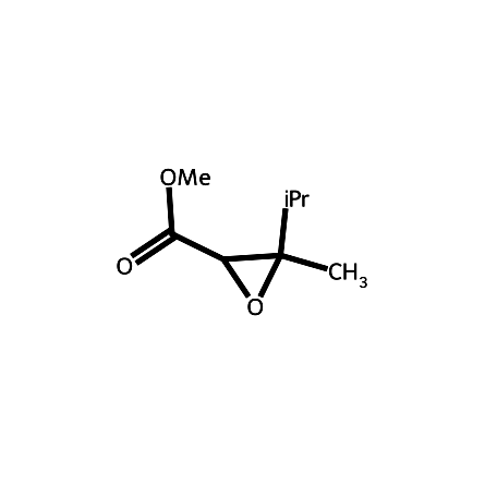 COC(=O)C1OC1(C)C(C)C